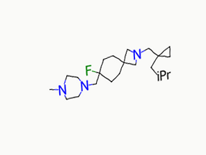 CC(C)CC1(CN2CC3(CCC(F)(CN4CCN(C)CC4)CC3)C2)CC1